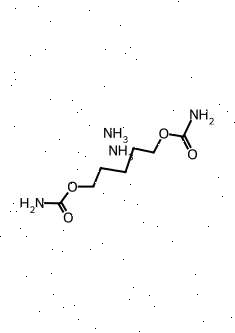 N.N.NC(=O)OCCCCCOC(N)=O